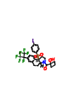 O=C(N1CC[C@@]2(S(=O)(=O)c3ccc(I)cc3)c3ccc(C(F)(C(F)(F)F)C(F)(F)F)cc3CC[C@@H]12)C1(O)CCC1